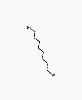 CC(C)(C)CCCCCCCCBr